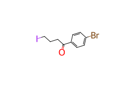 O=C(CCCI)c1ccc(Br)cc1